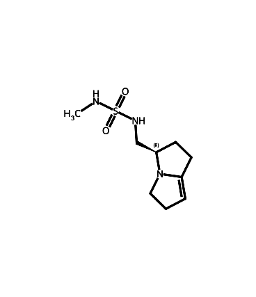 CNS(=O)(=O)NC[C@H]1CCC2=CCCN21